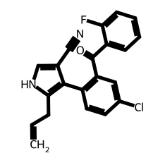 C=CCc1[nH]cc(C#N)c1-c1ccc(Cl)cc1C(=O)c1ccccc1F